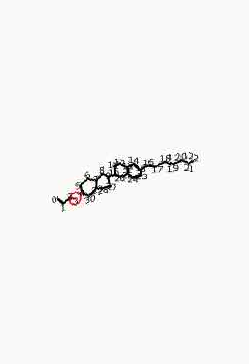 C=CCOC1CCC2CC(C3CCc4cc(CCCCCCC)ccc4C3)CCC2C1